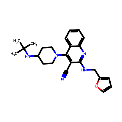 CC(C)(C)NC1CCN(c2c(C#N)c(NCc3ccco3)nc3ccccc23)CC1